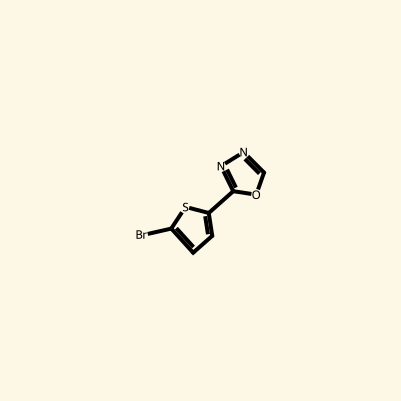 Brc1ccc(-c2nnco2)s1